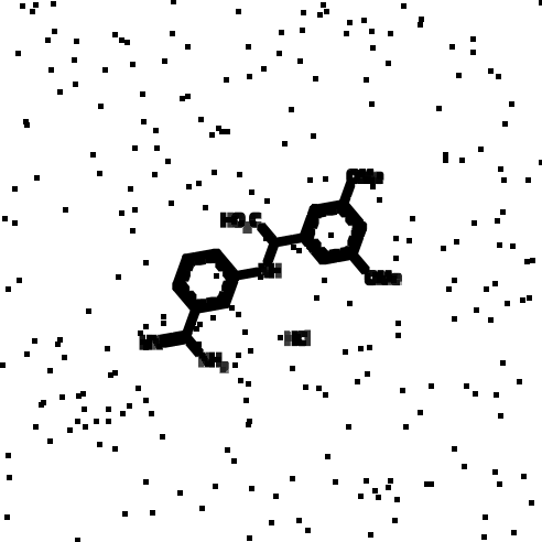 COc1cc(OC)cc(C(Nc2cccc(C(=N)N)c2)C(=O)O)c1.Cl